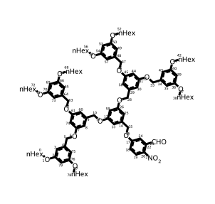 CCCCCCOc1cc(COc2cc(COc3cc(COc4ccc([N+](=O)[O-])c(C=O)c4)cc(OCc4cc(OCc5cc(OCCCCCC)cc(OCCCCCC)c5)cc(OCc5cc(OCCCCCC)cc(OCCCCCC)c5)c4)c3)cc(OCc3cc(OCCCCCC)cc(OCCCCCC)c3)c2)cc(OCCCCCC)c1